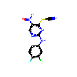 N#CSc1nc(Nc2ccc(F)c(Cl)c2)ncc1[N+](=O)[O-]